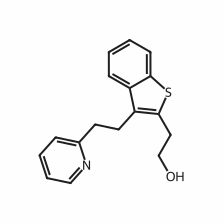 OCCc1sc2ccccc2c1CCc1ccccn1